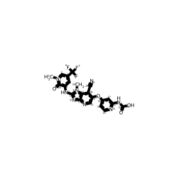 Cn1cc(C(F)(F)F)cc(Nc2nc3ncc(Oc4ccnc(NC(=O)O)c4)c(C#N)c3n2C)c1=O